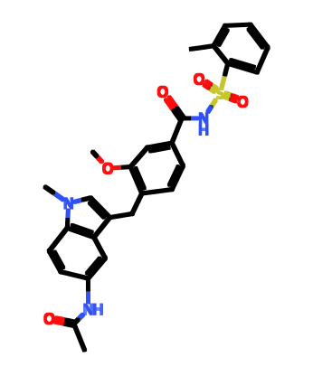 COc1cc(C(=O)NS(=O)(=O)c2ccccc2C)ccc1Cc1cn(C)c2ccc(NC(C)=O)cc12